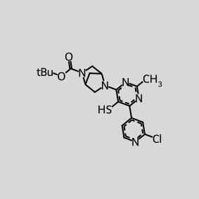 Cc1nc(-c2ccnc(Cl)c2)c(S)c(N2CC3CC2CN3C(=O)OC(C)(C)C)n1